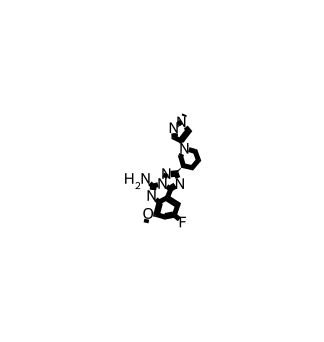 COc1cc(F)cc2c1nc(N)n1nc([C@H]3CCCN(c4cnn(C)c4)C3)nc21